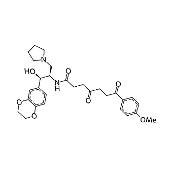 COc1ccc(C(=O)CCC(=O)CCC(=O)N[C@H](CN2CCCC2)[C@H](O)c2ccc3c(c2)OCCO3)cc1